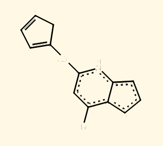 Brc1c[c]([Zr+2][C]2=CC=CC2)[nH]c2cccc1-2.[Cl-].[Cl-]